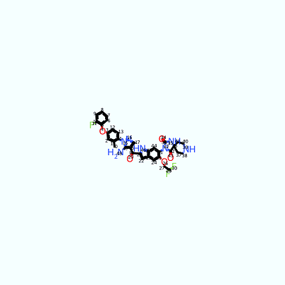 Cc1cc(Oc2ccccc2F)ccc1-n1ncc(C(=O)c2cc3cc(OCC(F)F)c(N4C(=O)NC5(CCNCC5)C4=O)cc3[nH]2)c1N